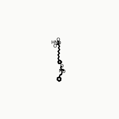 O=C1NC(=O)C(CCCCCCCCc2ccc(OCc3coc(C=Cc4ccccc4)n3)cc2)O1